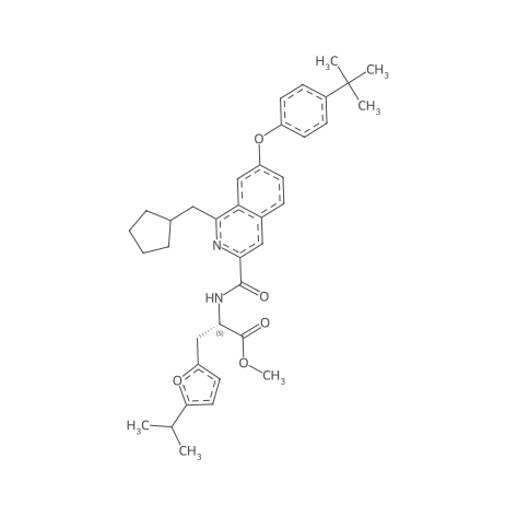 COC(=O)[C@H](Cc1ccc(C(C)C)o1)NC(=O)c1cc2ccc(Oc3ccc(C(C)(C)C)cc3)cc2c(CC2CCCC2)n1